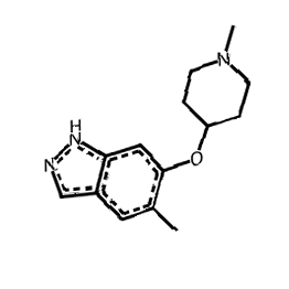 Cc1cc2cn[nH]c2cc1OC1CCN(C)CC1